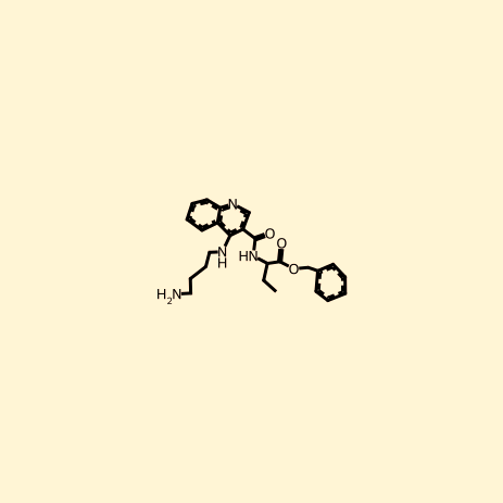 CCC(NC(=O)c1cnc2ccccc2c1NCCCCN)C(=O)OCc1ccccc1